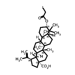 C=C(C)[C@@H]1CC[C@]2(C(=O)O)CC[C@]3(C)[C@H](CC[C@@H]4[C@@]5(C)CC[C@H](OC(=O)CI)C(C)(C)[C@@H]5CC[C@]43C)[C@@H]12